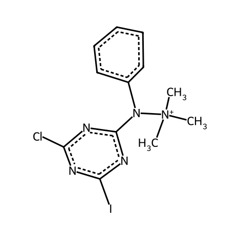 C[N+](C)(C)N(c1ccccc1)c1nc(Cl)nc(I)n1